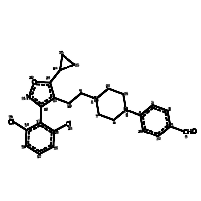 O=Cc1ccc(N2CCN(CCc3c(-c4c(Cl)cccc4Cl)noc3C3CC3)CC2)cc1